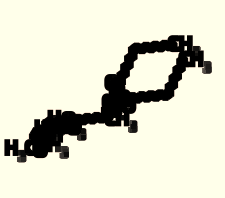 CCCCCCCC/C=C\CCCCCCCC(=O)OCC(COC(=O)CCCCCCC/C=C\CCCCCCCC)OC(=O)CC(C)CCCCCCC(=O)O[C@H]1CC[C@@]2(C)[C@@H](CC[C@@H]3[C@@H]2CC[C@]2(C)[C@@H](C(C)=O)CC[C@@H]32)C1